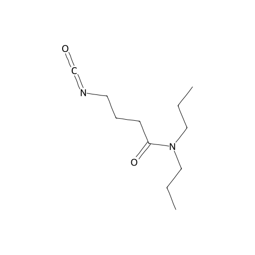 CCCN(CCC)C(=O)CCCN=C=O